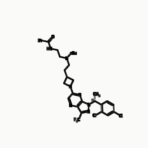 CCCCN(CCNC(=O)C(C)C)CCC1CN(c2cnc3c(C(F)(F)F)nn([C@H](C)c4ccc(Cl)cc4Cl)c3n2)C1